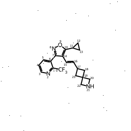 FC(F)(F)c1ncccc1-c1noc(C2CC2)c1/C=C/C1CC2(CNC2)C1